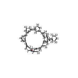 CC1(C)c2cc3ccc2-c2ccc(cc21)-c1ccc2c(c1)c1cc(ccc1n2-c1ccccc1)-c1cccc(c1)-c1cccc(c1)-c1cccc-3c1